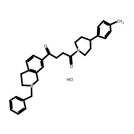 Cc1ccc(C2CCN(C(=O)CCC(=O)c3ccc4c(c3)CN(Cc3ccccc3)CC4)CC2)cc1.Cl